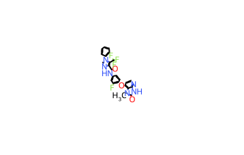 Cn1c(=O)[nH]c2nccc(Oc3ccc(NC(=O)c4ncn(-c5ccccc5)c4C(F)(F)F)cc3F)c21